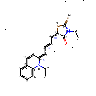 CCN1C(=O)\C(=C/C=C/C=C2\C=Cc3ccccc3N2CC)SC1=S